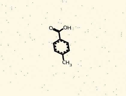 Cc1c[c]c(C(=O)O)cc1